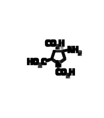 N[C@]1(C(=O)O)C[C@H](C(=O)O)N(C(=O)O)C1